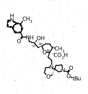 Cc1cc(C(=O)NC[C@@H](O)C[C@H]2CC[C@H](C)[C@](CCN3CCOC[C@@]34CCN(C(=O)OC(C)(C)C)C4)(C(=O)O)O2)cc2cc[nH]c12